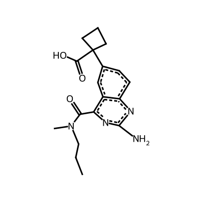 CCCN(C)C(=O)c1nc(N)nc2ccc(C3(C(=O)O)CCC3)cc12